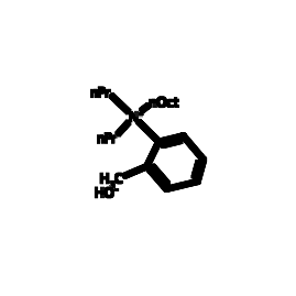 CCCCCCCC[N+](CCC)(CCC)c1ccccc1C.[OH-]